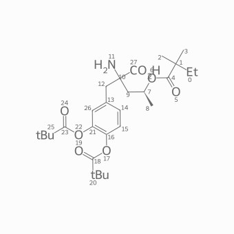 CCC(C)(C)C(=O)O[C@@H](C)CC(N)(Cc1ccc(OC(=O)C(C)(C)C)c(OC(=O)C(C)(C)C)c1)C(=O)O